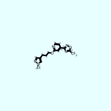 CCn1cc(CCCOc2cc(-c3noc(C(F)(F)F)n3)ccn2)cn1